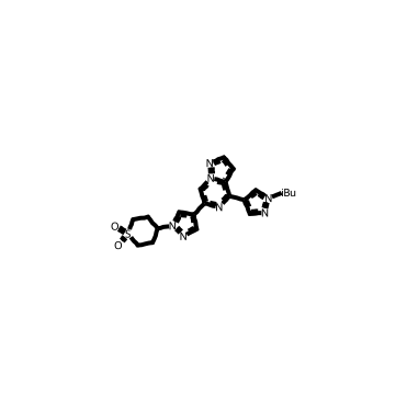 CCC(C)n1cc(-c2nc(-c3cnn(C4CCS(=O)(=O)CC4)c3)cn3nccc23)cn1